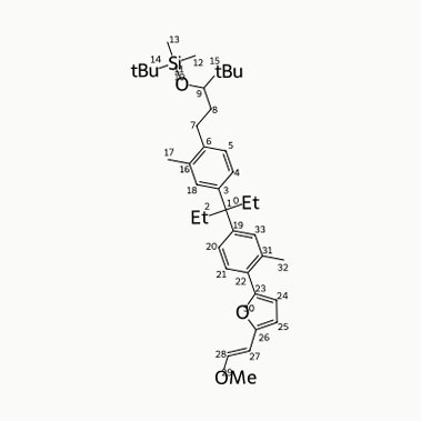 CCC(CC)(c1ccc(CCC(O[Si](C)(C)C(C)(C)C)C(C)(C)C)c(C)c1)c1ccc(-c2ccc(C=COC)o2)c(C)c1